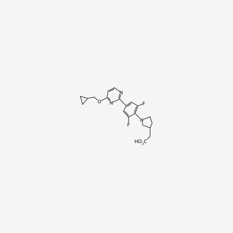 O=C(O)CC1CCN(c2c(F)cc(-c3nccc(OCC4CC4)n3)cc2F)C1